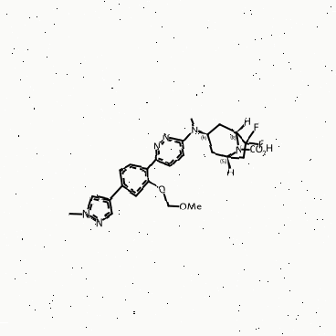 COCOc1cc(-c2cnn(C)c2)ccc1-c1ccc(N(C)[C@@H]2C[C@H]3CC(F)(F)[C@@H](C2)N3C(=O)O)nn1